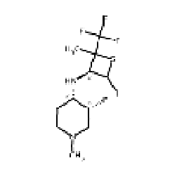 CN1CC[C@H](N[C@@H]2C(I)SC2(C)C(F)(F)F)[C@H](F)C1